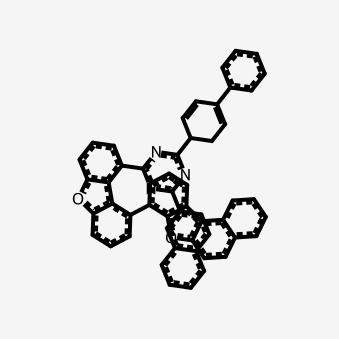 C1=CC(c2nc(-c3ccc4ccccc4c3)nc(-c3cccc4oc5cccc(-c6cccc7c6oc6ccc8ccccc8c67)c5c34)n2)CC=C1c1ccccc1